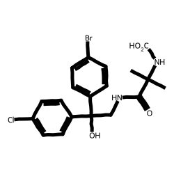 CC(C)(NC(=O)O)C(=O)NCC(O)(c1ccc(Cl)cc1)c1ccc(Br)cc1